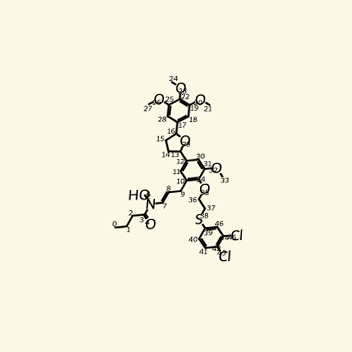 CCCC(=O)N(O)C=CCc1cc(C2CCC(c3cc(OC)c(OC)c(OC)c3)O2)cc(OC)c1OCCSc1ccc(Cl)c(Cl)c1